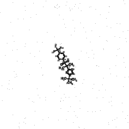 CC(C)(C)c1noc(C(C)(C)S(=O)(=O)c2ccc(C(F)(F)F)cc2)n1